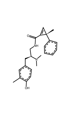 Cc1cc(C[C@@H](CNC(=O)C2=C[C@]2(C)c2ccccc2)N(C)C)ccc1O